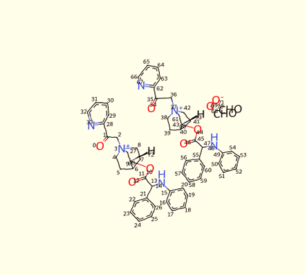 O=C(C[N+]12CCC(CC1)[C@@H](OC(=O)C(Nc1ccccc1)c1ccccc1)C2)c1ccccn1.O=C(C[N+]12CCC(CC1)[C@@H](OC(=O)C(Nc1ccccc1)c1ccccc1)C2)c1ccccn1.O=C[O-].O=C[O-]